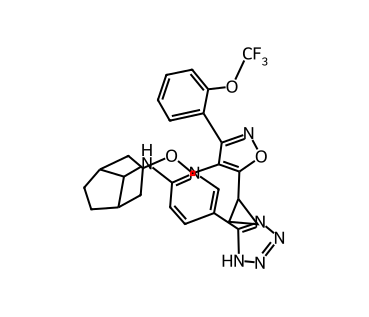 FC(F)(F)Oc1ccccc1-c1noc(C2CC2)c1COC1CC2CCC(C1)C2Nc1ccc(-c2nnn[nH]2)cn1